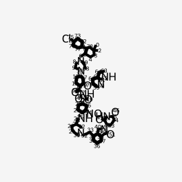 CC1(C)CCC(CN2CCN(c3ccc(C(=O)NS(=O)(=O)c4ccc(NCC5CCCN(CCc6cccc7c6CN(C6CCC(=O)NC6=O)C7=O)C5)c([N+](=O)[O-])c4)c(Oc4cnc5[nH]ccc5c4)c3)CC2)=C(c2ccc(Cl)cc2)C1